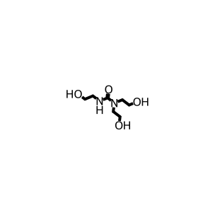 O=C(NCCO)N(CCO)CCO